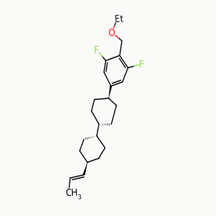 C/C=C/[C@H]1CC[C@H]([C@H]2CC[C@H](c3cc(F)c(COCC)c(F)c3)CC2)CC1